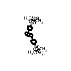 CC1(C)OB(c2ccc(C34C5C6C3C3C4C5C63c3ccc(B4OC(C)(C)C(C)(C)O4)cc3)cc2)OC1(C)C